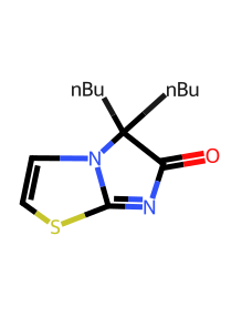 CCCCC1(CCCC)C(=O)N=C2SC=CN21